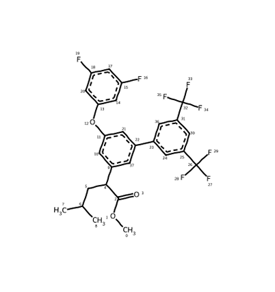 COC(=O)C(CC(C)C)c1cc(Oc2cc(F)cc(F)c2)cc(-c2cc(C(F)(F)F)cc(C(F)(F)F)c2)c1